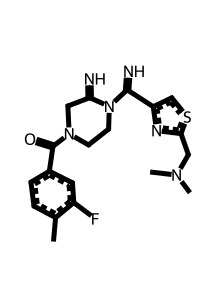 Cc1ccc(C(=O)N2CCN(C(=N)c3csc(CN(C)C)n3)C(=N)C2)cc1F